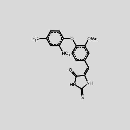 COc1cc(C=C2NC(=S)NC2=O)ccc1Oc1ccc(C(F)(F)F)cc1[N+](=O)[O-]